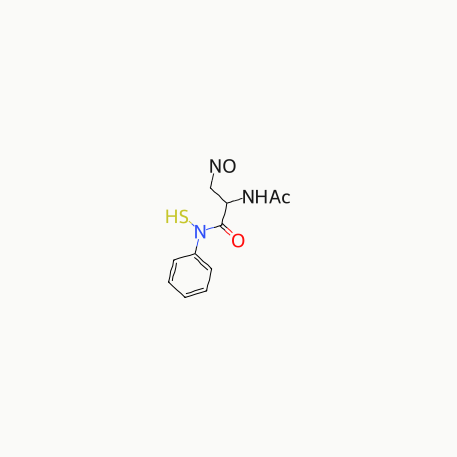 CC(=O)NC(CN=O)C(=O)N(S)c1ccccc1